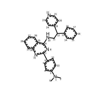 CN(C)c1ccc(-c2nc(NCC(c3ccccc3)c3ccncc3)c3ccccc3n2)cc1